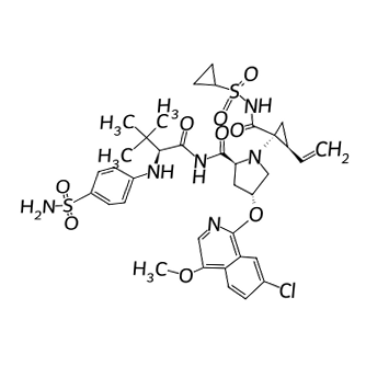 C=C[C@@H]1C[C@@]1(C(=O)NS(=O)(=O)C1CC1)N1C[C@H](Oc2ncc(OC)c3ccc(Cl)cc23)C[C@H]1C(=O)NC(=O)[C@@H](Nc1ccc(S(N)(=O)=O)cc1)C(C)(C)C